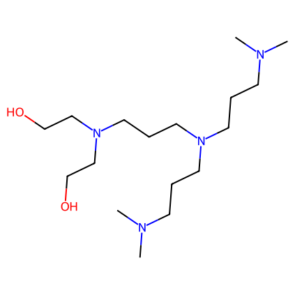 CN(C)CCCN(CCCN(C)C)CCCN(CCO)CCO